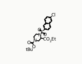 CCOC(=O)C1CN(C(=O)OC(C)(C)C)CCN1S(=O)(=O)c1ccc2cc(Cl)ccc2c1